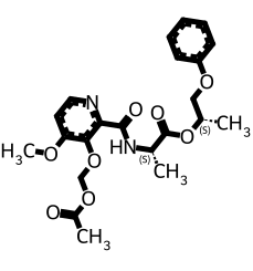 COc1ccnc(C(=O)N[C@@H](C)C(=O)O[C@@H](C)COc2ccccc2)c1OCOC(C)=O